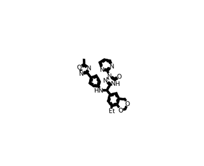 CCc1cc(C(Nc2ccc(-c3noc(C)n3)cc2)c2nn(-c3ncccn3)c(=O)[nH]2)cc2c1OCOC2